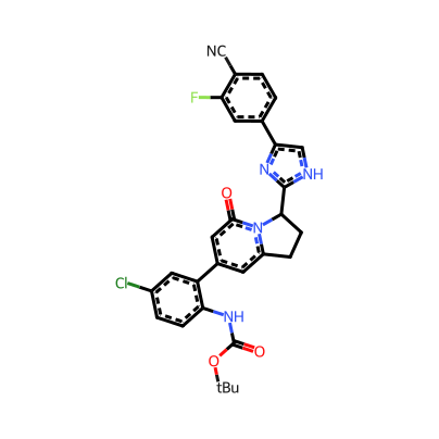 CC(C)(C)OC(=O)Nc1ccc(Cl)cc1-c1cc2n(c(=O)c1)C(c1nc(-c3ccc(C#N)c(F)c3)c[nH]1)CC2